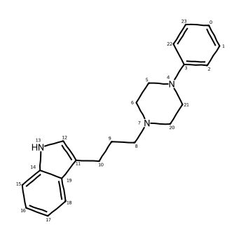 c1ccc(N2CCN(CCCc3c[nH]c4ccccc34)CC2)cc1